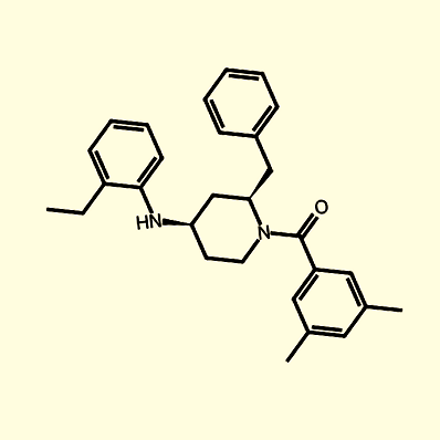 CCc1ccccc1N[C@@H]1CCN(C(=O)c2cc(C)cc(C)c2)[C@H](Cc2ccccc2)C1